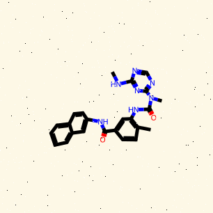 CNc1ncnc(N(C)C(=O)Nc2cc(C(=O)Nc3ccc4ccccc4c3)ccc2C)n1